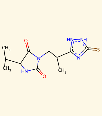 CC(CN1C(=O)NC(C(C)C)C1=O)c1nc(=S)[nH][nH]1